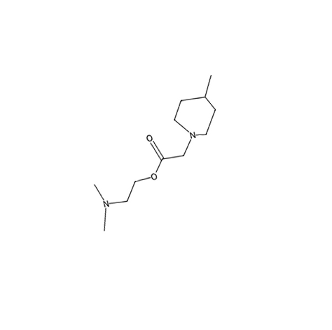 CC1CCN(CC(=O)OCCN(C)C)CC1